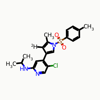 [2H]c1c(-c2cc(NC(C)C)ncc2Cl)cn(S(=O)(=O)c2ccc(C)cc2)c1C